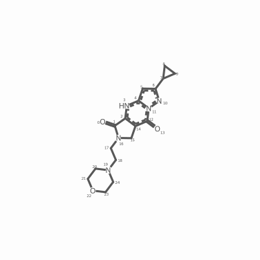 O=C1c2[nH]c3cc(C4CC4)nn3c(=O)c2CN1CCN1CCOCC1